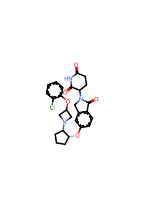 O=C1CCC(N2Cc3cc(O[C@@H]4CCC[C@H]4N4CC(Oc5ccccc5Cl)C4)ccc3C2=O)C(=O)N1